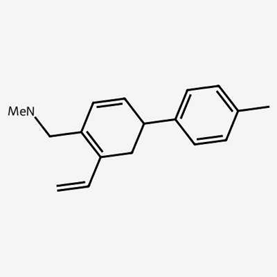 C=CC1=C(CNC)C=CC(c2ccc(C)cc2)C1